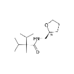 CC(C)C(C)(C(=O)NC[C@@H]1CCCO1)C(C)C